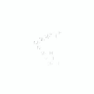 [Nb+5].[Nb+5].[Nb+5].[SbH6-3].[SbH6-3].[SbH6-3].[SbH6-3].[SbH6-3]